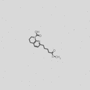 COC(=O)CCCCc1ccc2c(n1)N(C(=O)O)CCC2